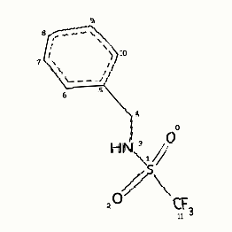 O=S(=O)(NCc1ccccc1)C(F)(F)F